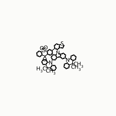 CC1(C)c2ccccc2N(c2ccc3c(c2)c2cc(N4c5ccccc5C(C)(C)c5ccccc54)ccc2n3-c2c(-c3ccc4c(c3)S(=O)(=O)c3ccccc3C4=O)ccc3sccc23)c2ccccc21